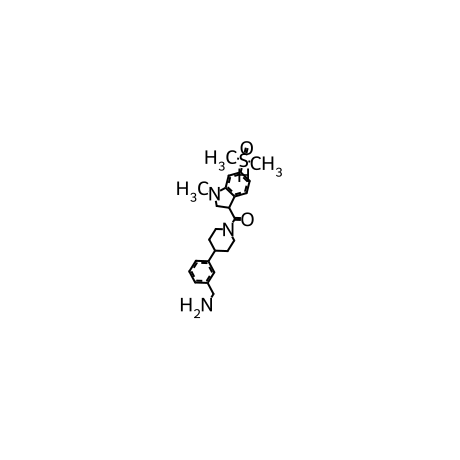 CN1CC(C(=O)N2CCC(c3cccc(CN)c3)CC2)c2ccc([SH](C)(C)=O)cc21